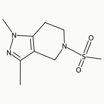 Cc1nn(C)c2c1CN(S(C)(=O)=O)CC2